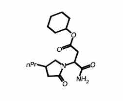 CCCC1CC(=O)N(C(CC(=O)OC2CCCCC2)C(N)=O)C1